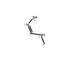 CN/C=N\S